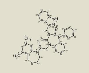 Cc1cc(C)c2c(c1)N(C(=O)CN1C(=O)C(=Cc3n[nH]c4ccccc34)C(=O)N(c3ccccc3)c3ccccc31)CCCC2